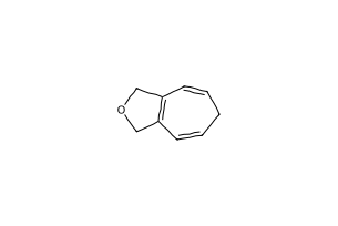 C1=CC2=C(C=CC1)COC2